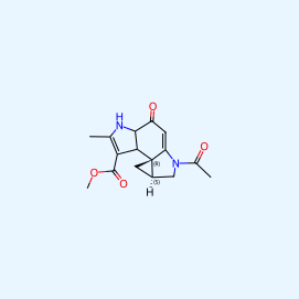 COC(=O)C1=C(C)NC2C(=O)C=C3N(C(C)=O)C[C@H]4C[C@@]34C12